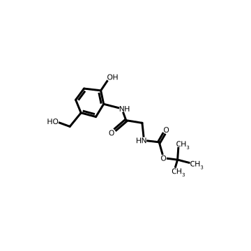 CC(C)(C)OC(=O)NCC(=O)Nc1cc(CO)ccc1O